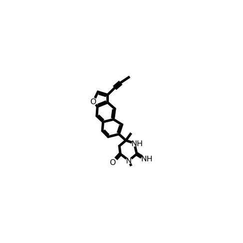 CC#Cc1coc2cc3ccc(C4(C)CC(=O)N(C)C(=N)N4)cc3cc12